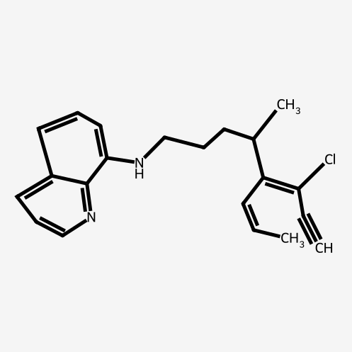 C#C/C(Cl)=C(\C=C/C)C(C)CCCNc1cccc2cccnc12